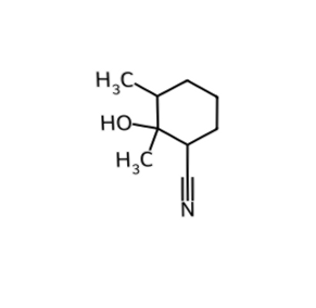 CC1CCCC(C#N)C1(C)O